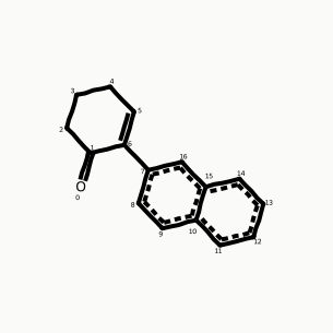 O=C1CCCC=C1c1ccc2ccccc2c1